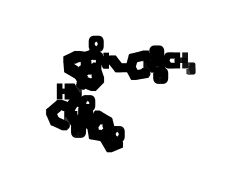 CS(=O)(=O)N1CCC(CCN2C(=O)c3cccc4c(NC(=O)C5CCCCN5S(=O)(=O)c5ccc6c(c5)CCO6)ccc2c34)CC1